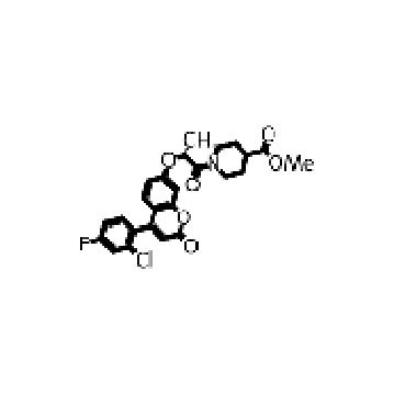 COC(=O)C1CCN(C(=O)[C@@H](C)Oc2ccc3c(-c4ccc(F)cc4Cl)cc(=O)oc3c2)CC1